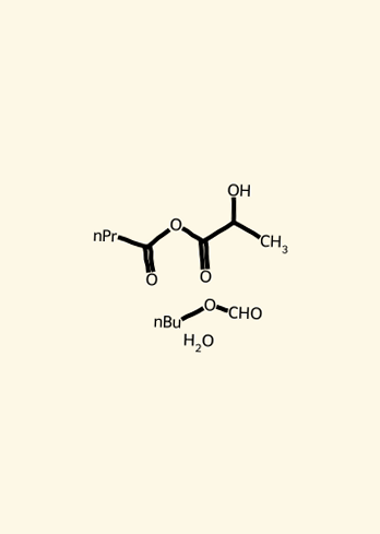 CCCC(=O)OC(=O)C(C)O.CCCCOC=O.O